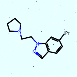 CC(C)c1ccc2cnn(CCN3CCCC3)c2c1